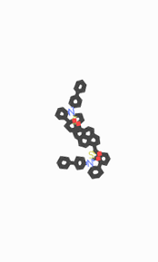 c1ccc(-c2ccc(N(c3ccc(-c4ccc5ccc6c(-c7ccc(N(c8ccc(-c9ccccc9)cc8)c8ccccc8-c8ccccc8)s7)ccc7ccc4c5c76)s3)c3ccccc3-c3ccccc3)cc2)cc1